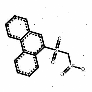 O=[N+]([O-])CS(=O)(=O)c1cc2ccccc2c2ccccc12